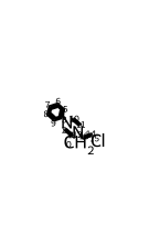 C=C1CN(c2ccccc2)CCN1CCCl